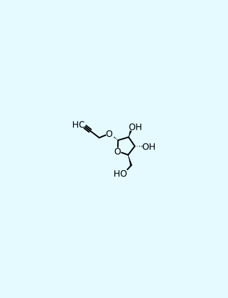 C#CCO[C@H]1O[C@H](CO)[C@@H](O)[C@@H]1O